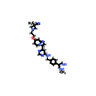 CN/C=C(\C=N)c1ccc(CNc2cc(-c3cnc4cc(OCCN5CC(C)(C#N)C5)ccn34)ncn2)cc1